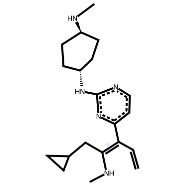 C=C/C(=C(/CC1CC1)NC)c1ccnc(N[C@H]2CC[C@H](NC)CC2)n1